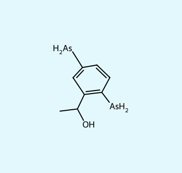 CC(O)c1cc([AsH2])ccc1[AsH2]